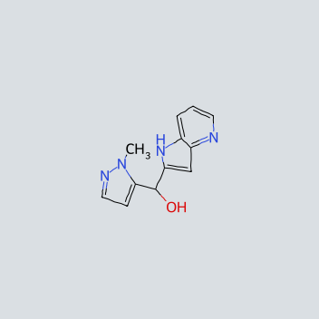 Cn1nccc1C(O)c1cc2ncccc2[nH]1